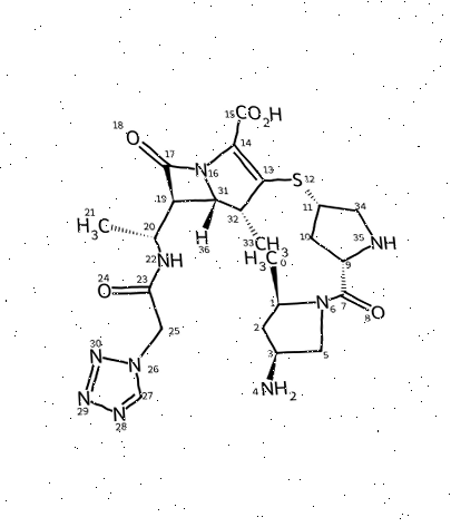 C[C@@H]1C[C@H](N)CN1C(=O)[C@@H]1C[C@H](SC2=C(C(=O)O)N3C(=O)[C@H]([C@@H](C)NC(=O)Cn4cnnn4)[C@H]3[C@H]2C)CN1